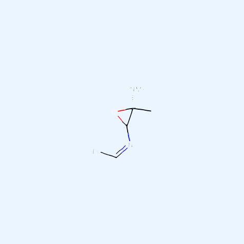 CN[C@@]1(C)OC1/N=C\C(C)C